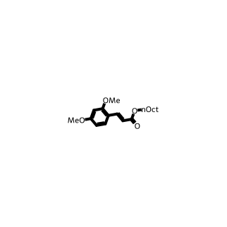 CCCCCCCCOC(=O)C=Cc1ccc(OC)cc1OC